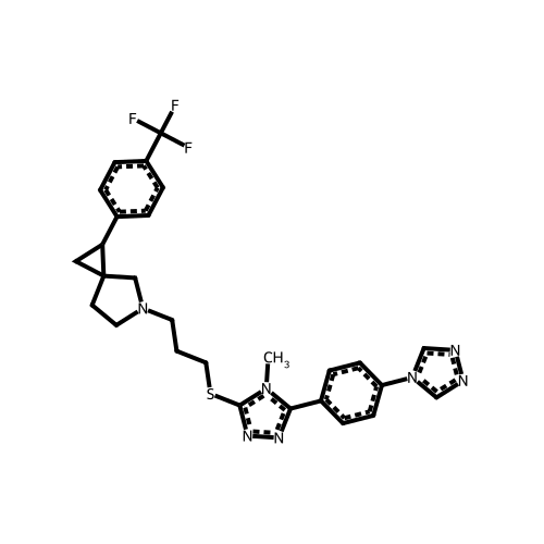 Cn1c(SCCCN2CCC3(CC3c3ccc(C(F)(F)F)cc3)C2)nnc1-c1ccc(-n2cnnc2)cc1